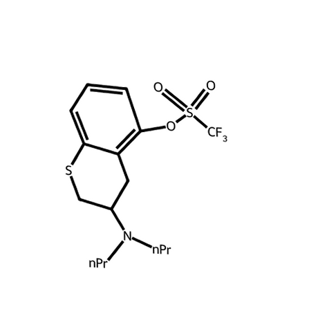 CCCN(CCC)C1CSc2cccc(OS(=O)(=O)C(F)(F)F)c2C1